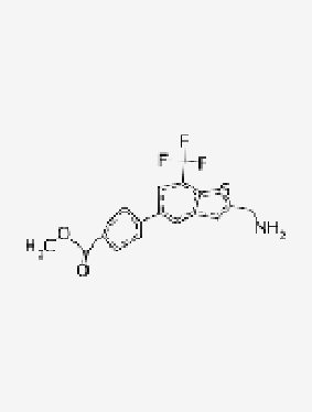 COC(=O)c1ccc(-c2cc(C(F)(F)F)c3sc(CN)cc3c2)cc1